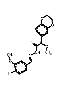 COc1cc(/C=N/NC(=O)C(OC)c2ccc3c(c2)OCCO3)ccc1Br